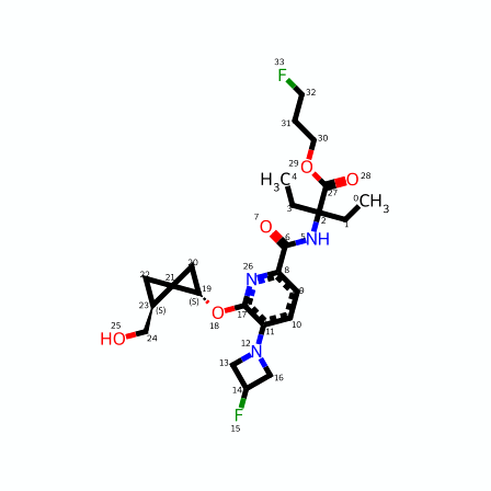 CCC(CC)(NC(=O)c1ccc(N2CC(F)C2)c(O[C@H]2CC23C[C@@H]3CO)n1)C(=O)OCCCF